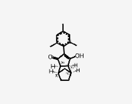 Cc1cc(C)c(C2=C(O)[C@H]3[C@H]4CC[C@H](C4)[C@H]3C2=O)c(C)c1